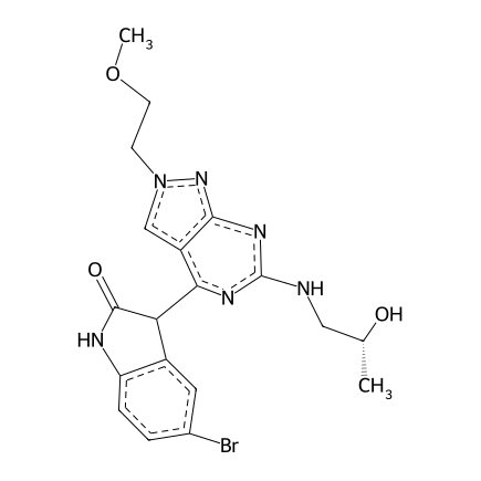 COCCn1cc2c(C3C(=O)Nc4ccc(Br)cc43)nc(NC[C@@H](C)O)nc2n1